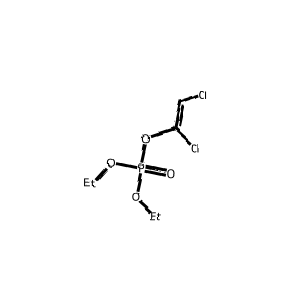 CCOP(=O)(OCC)OC(Cl)=CCl